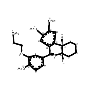 COCCOc1cc(C2=N[C@H]3CCCC[C@H]3c3cc(OC)c(OC)cc32)ccc1OC